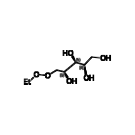 CCOOC[C@H](O)[C@@H](O)[C@H](O)CO